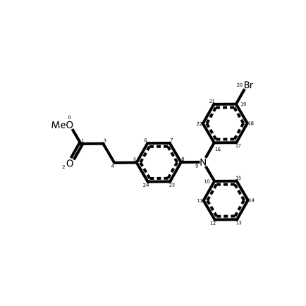 COC(=O)CCc1ccc(N(c2ccccc2)c2ccc(Br)cc2)cc1